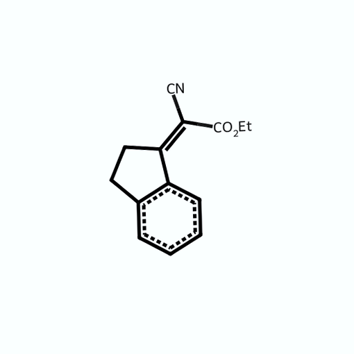 CCOC(=O)/C(C#N)=C1/CCc2ccccc21